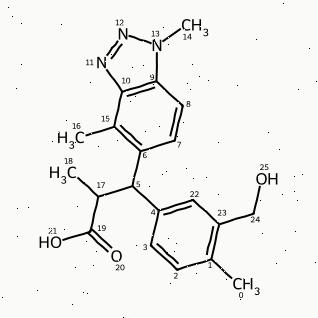 Cc1ccc(C(c2ccc3c(nnn3C)c2C)C(C)C(=O)O)cc1CO